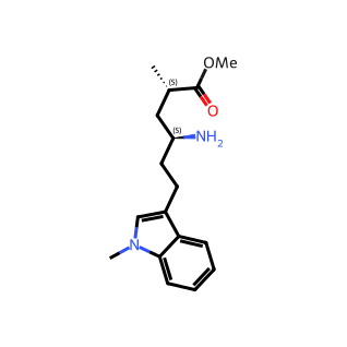 COC(=O)[C@@H](C)C[C@@H](N)CCc1cn(C)c2ccccc12